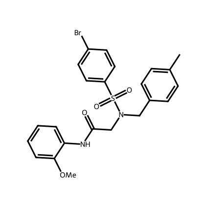 COc1ccccc1NC(=O)CN(Cc1ccc(C)cc1)S(=O)(=O)c1ccc(Br)cc1